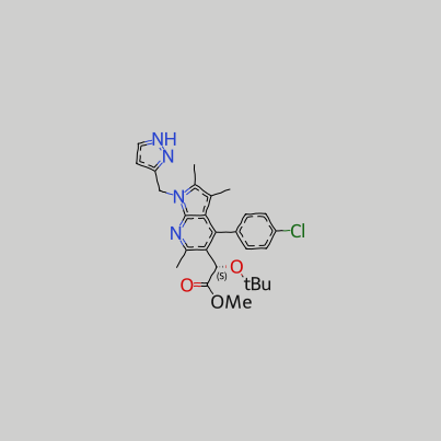 COC(=O)[C@@H](OC(C)(C)C)c1c(C)nc2c(c(C)c(C)n2Cc2cc[nH]n2)c1-c1ccc(Cl)cc1